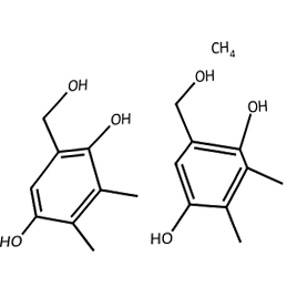 C.Cc1c(O)cc(CO)c(O)c1C.Cc1c(O)cc(CO)c(O)c1C